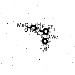 COC(=O)c1ccc(NC(=O)c2c(Oc3ccc(OC(F)(F)F)cc3OC)ccc(C(F)(F)F)c2F)cn1